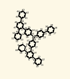 C1=CCC(c2ccc(-c3ccccc3)cc2-c2ccc(N(c3ccc(-c4ccccc4)cc3)c3ccc(-c4cc(-c5ccccc5)ccc4-c4ccccc4)cc3)cc2)C=C1